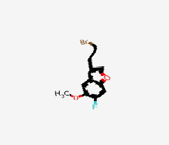 COc1cc2c(CCBr)coc2cc1F